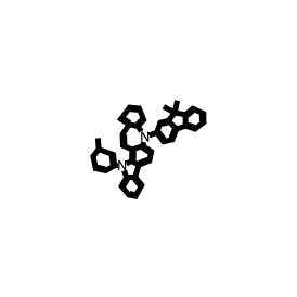 CC1C=C(n2c3ccccc3c3ccc4c(c32)C=Cc2ccccc2N4c2ccc3c(c2)C(C)(C)c2ccccc2-3)C=CC1